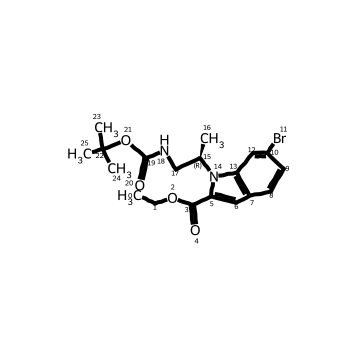 CCOC(=O)c1cc2ccc(Br)cc2n1[C@H](C)CNC(=O)OC(C)(C)C